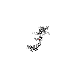 COc1cc2nc(C)nc(N[C@H](C)c3cc(N)cc(C(F)(F)F)c3)c2cc1OCC1(CN(C)C(=O)CCN2CCC(CNc3cccc4c3C(=O)N(C3CCC(=O)NC3=O)C4=O)CC2)CC1